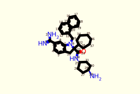 N=C(N)c1ccc2c(c1)N(Cc1cccc3ccccc13)C(C(=O)N[C@H]1CC[C@H](N)CC1)(C1CCCCCC1)C2